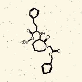 CC(C)(C)OC(=O)C(CCc1ccccc1)NC1CCCCCN(CC(=O)OCc2ccccc2)C1=O